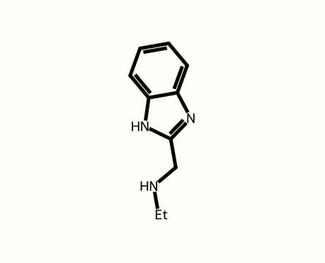 CCNCc1nc2ccccc2[nH]1